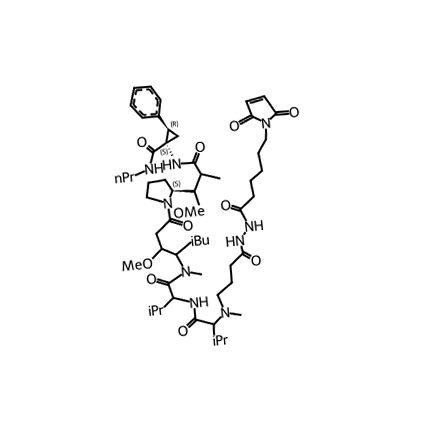 CCCNC(=O)[C@]1(NC(=O)C(C)C(OC)[C@@H]2CCCN2C(=O)CC(OC)C(C(C)CC)N(C)C(=O)C(NC(=O)C(C(C)C)N(C)CCCC(=O)NNC(=O)CCCCCN2C(=O)C=CC2=O)C(C)C)C[C@@H]1c1ccccc1